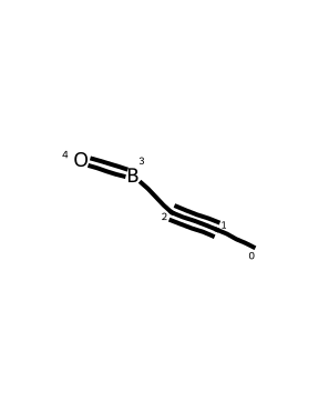 CC#CB=O